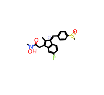 CC1=C(CC(=O)N(C)O)c2cc(F)ccc2/C1=C\c1ccc([S+](C)[O-])cc1